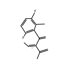 C=C(C)/C(=C/C)C(=C)c1c(F)ccc(F)c1C